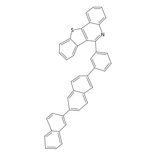 c1cc(-c2ccc3cc(-c4ccc5ccccc5c4)ccc3c2)cc(-c2nc3ccccc3c3sc4ccccc4c23)c1